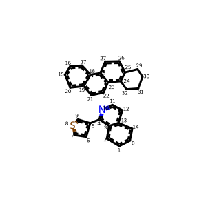 c1ccc2c(-c3ccsc3)nccc2c1.c1ccc2c(c1)ccc1c3c(ccc12)CCCC3